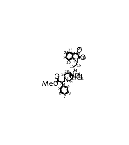 COC(=O)C(c1ccccc1)N1CCN(CCCN2C(=O)C(=O)c3ccccc32)CC1.Cl.Cl